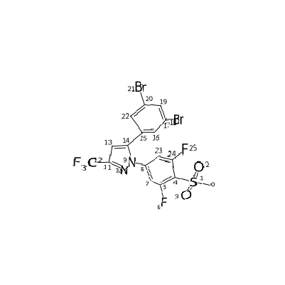 CS(=O)(=O)c1c(F)cc(-n2nc(C(F)(F)F)cc2-c2cc(Br)cc(Br)c2)cc1F